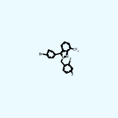 Fc1ccc(Cn2nc3c(C(F)(F)F)cccc3c2-c2ccc(Br)cc2)c(F)c1